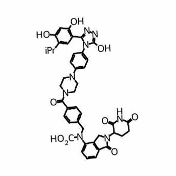 CC(C)c1cc(-c2nnc(O)n2-c2ccc(N3CCN(C(=O)c4ccc(CN(C(=O)O)c5cccc6c5CN(C5CCC(=O)NC5=O)C6=O)cc4)CC3)cc2)c(O)cc1O